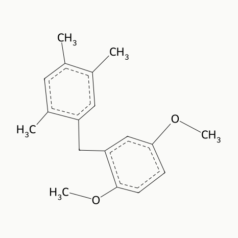 COc1ccc(OC)c(Cc2cc(C)c(C)cc2C)c1